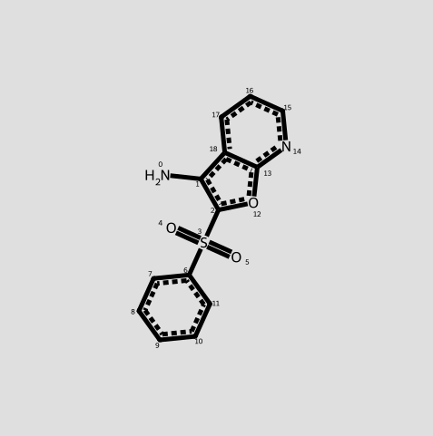 Nc1c(S(=O)(=O)c2ccccc2)oc2ncccc12